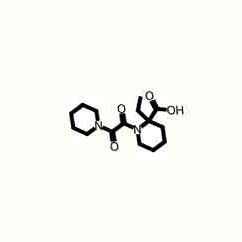 CCC1(C(=O)O)CCCCN1C(=O)C(=O)N1CCCCC1